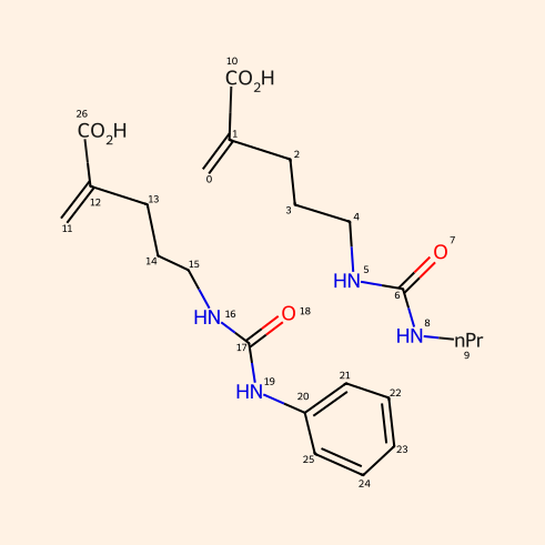 C=C(CCCNC(=O)NCCC)C(=O)O.C=C(CCCNC(=O)Nc1ccccc1)C(=O)O